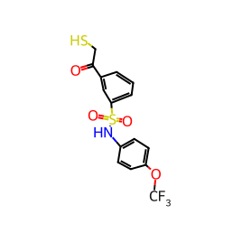 O=C(CS)c1cccc(S(=O)(=O)Nc2ccc(OC(F)(F)F)cc2)c1